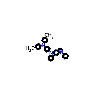 Cc1ccc(N(c2ccc(C)cc2)c2ccc(-n3c4ccccc4c4cc5c(ccn5-c5ccccc5)cc43)cc2)cc1